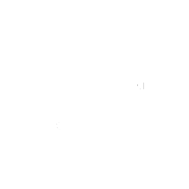 Clc1cccc(Cl)c1-c1c[c]ccc1